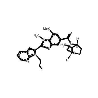 COc1cc(C(=O)N2C[C@H]3CC[C@@H]2C3N)cc2nc(-c3cc4cccnc4n3CCF)n(C)c12